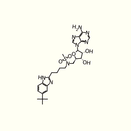 CC(C)(C)c1ccc2[nH]c(CCCCN(C[C@H]3OC(n4cnc5c(N)ncnc54)[C@H](O)[C@@H]3O)S(C)(=O)=O)nc2c1